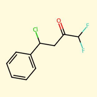 O=C(CC(Cl)c1ccccc1)C(F)F